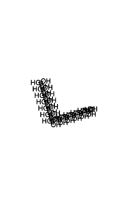 Cl.Cl.OB(O)O.OB(O)O.OB(O)O.OB(O)O.OB(O)O.OB(O)O.OB(O)O.OB(O)O.OB(O)O.OB(O)O.OB(O)O.OB(O)O